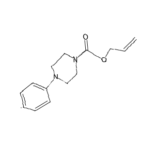 C=CCOC(=O)N1CCN(c2cc[c]cc2)CC1